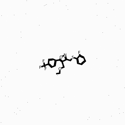 CCOCc1c(CSc2ccccc2F)noc1-c1ccc(C(F)(F)F)cc1